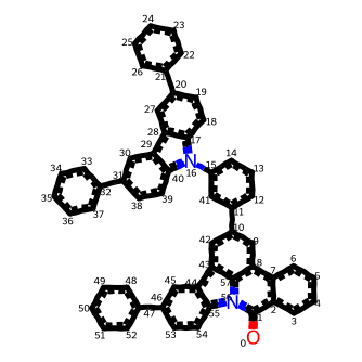 O=c1c2ccccc2c2cc(-c3cccc(-n4c5ccc(-c6ccccc6)cc5c5cc(-c6ccccc6)ccc54)c3)cc3c4cc(-c5ccccc5)ccc4n1c23